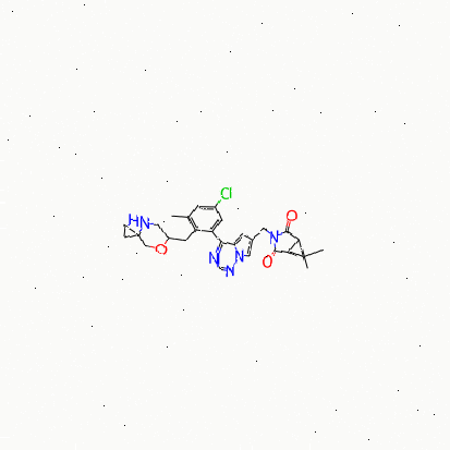 Cc1cc(Cl)cc(-c2ncnn3cc(CN4C(=O)C5C(C4=O)C5(C)C)cc23)c1CC1CNC2(CC2)CO1